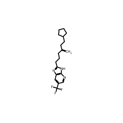 C=C(CCCc1nc2cc(C(F)(F)F)cnc2[nH]1)CCC1CCCC1